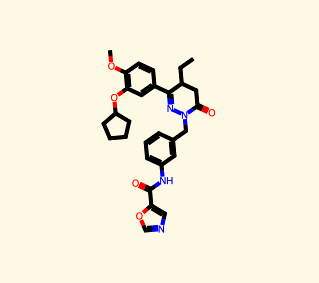 CCC1CC(=O)N(Cc2cccc(NC(=O)c3cnco3)c2)N=C1c1ccc(OC)c(OC2CCCC2)c1